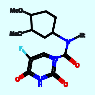 CCN(C(=O)n1cc(F)c(=O)[nH]c1=O)C1CCC(OC)C(OC)C1